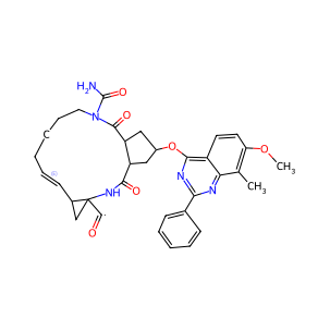 COc1ccc2c(OC3CC4C(=O)NC5([C]=O)CC5/C=C/CCCCN(C(N)=O)C(=O)C4C3)nc(-c3ccccc3)nc2c1C